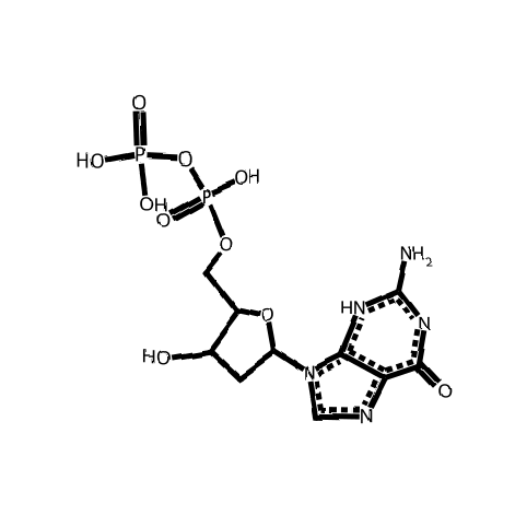 Nc1nc(=O)c2ncn(C3CC(O)C(COP(=O)(O)OP(=O)(O)O)O3)c2[nH]1